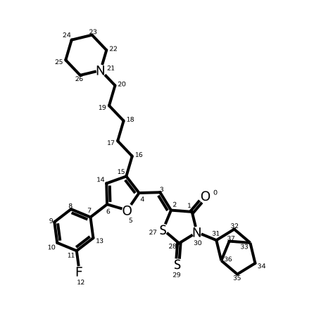 O=C1/C(=C/c2oc(-c3cccc(F)c3)cc2CCCCCN2CCCCC2)SC(=S)N1C1CC2CCC1C2